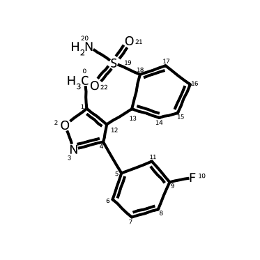 Cc1onc(-c2cccc(F)c2)c1-c1ccccc1S(N)(=O)=O